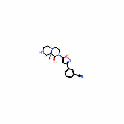 N#Cc1cccc(-c2cc(N3CCN4CCNC[C@@H]4C3=O)on2)c1